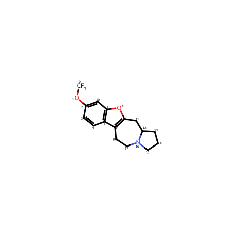 FC(F)(F)Oc1ccc2c3c(oc2c1)CC1CCCN1CC3